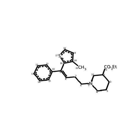 CCOC(=O)C1CCCN(CCC=C(c2ccccc2)c2sccc2C)C1